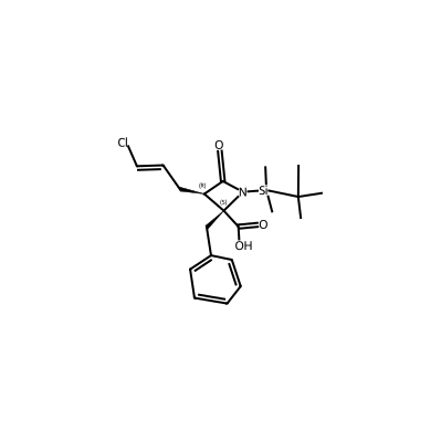 CC(C)(C)[Si](C)(C)N1C(=O)[C@H](CC=CCl)[C@@]1(Cc1ccccc1)C(=O)O